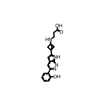 O=C(O)CCNC12CC(c3cc4cc(-c5ccccc5O)nnc4[nH]3)(C1)C2